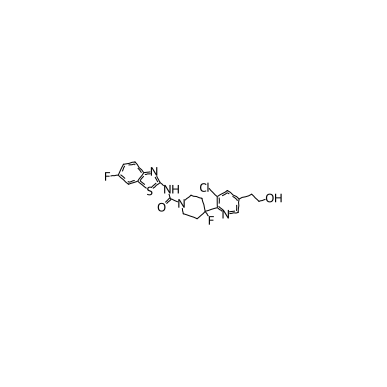 O=C(Nc1nc2ccc(F)cc2s1)N1CCC(F)(c2ncc(CCO)cc2Cl)CC1